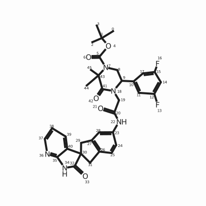 CC(C)(C)OC(=O)N1CC(c2cc(F)cc(F)c2)N(CC(=O)Nc2ccc3c(c2)CC2(C3)C(=O)Nc3ncccc32)C(=O)C1(C)C